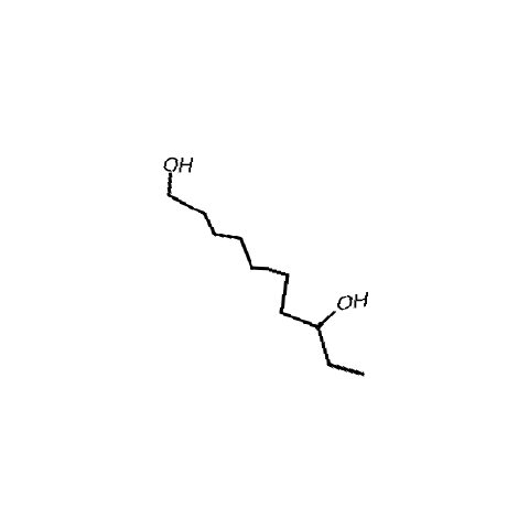 CCC(O)CCCCCCCO